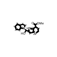 COC(=O)c1ccnc2cc(C(O)N3CCc4ccccc43)[nH]c12